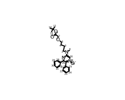 CN(CCCCOCC(=O)OC(C)(C)C)c1c[n+]([O-])c(-c2ccccc2)c(-c2ccccc2)n1